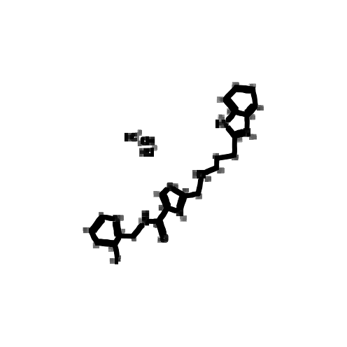 Cl.Cl.Cl.O=C(NCc1ncccc1F)c1csc(CNCCCc2nc3ccccc3[nH]2)n1